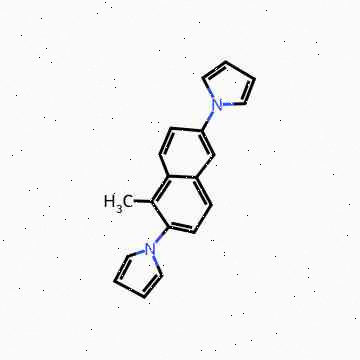 Cc1c(-n2cccc2)ccc2cc(-n3cccc3)ccc12